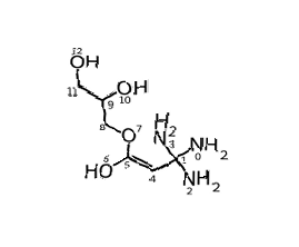 NC(N)(N)C=C(O)OCC(O)CO